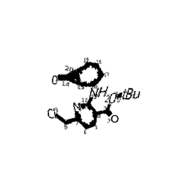 CC(C)(C)OC(=O)c1ccc(CCl)nc1N.O=c1c2ccccc12